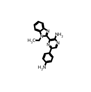 CCn1c(-c2nc(-c3ccc(N)cc3)cnc2N)nc2ccccc21